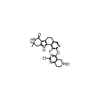 CCN1CCc2nc(Cl)nc(Oc3ncc4c(c3F)-c3[nH]c5c(c3CC4)C(=O)NC(C)(C)C5)c2C1